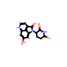 O=C1CCC(N2C(=O)c3ccnc4cc(O)cc2c34)C(=O)N1